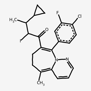 CC1=C2C=CC=NN2C(c2ccc(Cl)c(F)c2)=C(C(=O)C(I)C(C)C2CC2)CC1